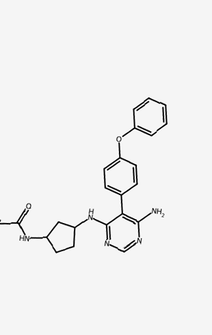 C=CC(=O)NC1CCC(Nc2ncnc(N)c2-c2ccc(Oc3ccccc3)cc2)C1